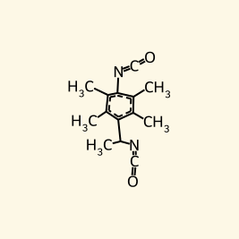 Cc1c(C)c(C(C)N=C=O)c(C)c(C)c1N=C=O